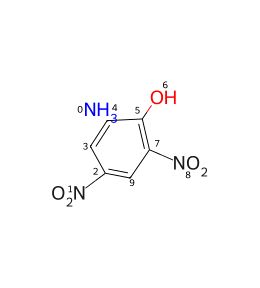 N.O=[N+]([O-])c1ccc(O)c([N+](=O)[O-])c1